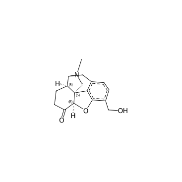 CN1CC[C@]23c4c5ccc(CO)c4O[C@H]2C(=O)CC[C@H]3C1C5